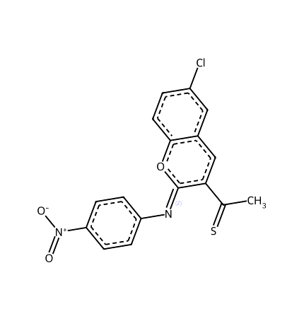 CC(=S)c1cc2cc(Cl)ccc2o/c1=N\c1ccc([N+](=O)[O-])cc1